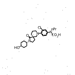 CCCN(C(=O)O)c1ccc(N2CCC[C@]3(CCN([C@H]4CC[C@H](O)CC4)C3=O)C2)c(Cl)c1